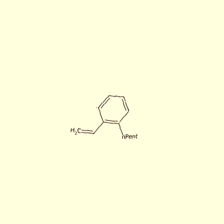 C=Cc1[c]cccc1CCCCC